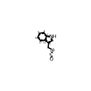 O=C=NCc1c[nH]c2ccccc12